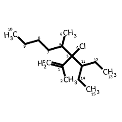 C=C(C)C(Cl)(C(C)CCCC)C(CC)CC